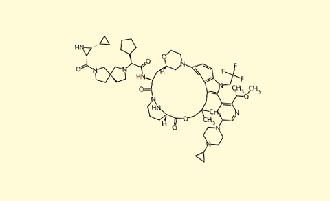 CO[C@@H](C)C1=C(c2c3c4cc(ccc4n2CC(F)(F)F)N2CCO[C@@H](C[C@H](NC(=O)[C@H](C4CCCC4)N4CC[C@]5(CCN(C(=O)[C@@H]6N[C@@H]6C6CC6)C5)C4)C(=O)N4CCC[C@H](N4)C(=O)OCC(C)(C)C3)C2)CC(N2CCN(C3CC3)CC2)C=N1